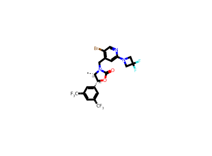 C[C@H]1[C@@H](c2cc(C(F)(F)F)cc(C(F)(F)F)c2)OC(=O)N1Cc1cc(N2CC(F)(F)C2)ncc1Br